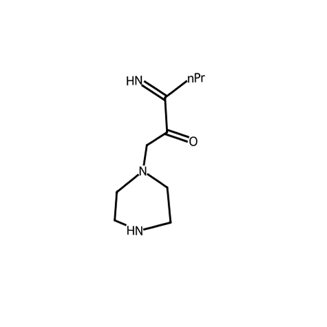 CCCC(=N)C(=O)CN1CCNCC1